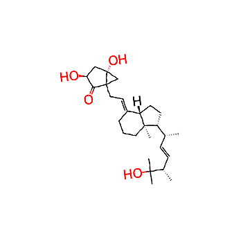 C[C@H](/C=C/[C@H](C)C(C)(C)O)[C@H]1CC[C@H]2/C(=C/CC34C[C@]3(O)C[C@H](O)C4=O)CCC[C@]12C